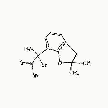 CCCN([S])C(C)(CC)c1cccc2c1OC(C)(C)C2